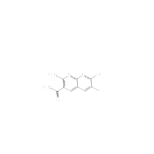 Cc1cc2cc(C(N)=O)c(N)nc2nc1C(F)(F)F